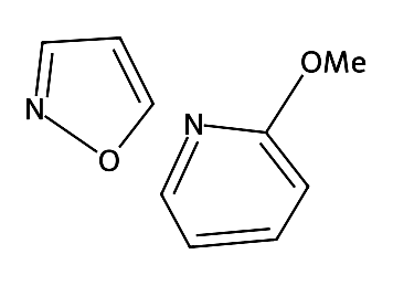 COc1ccccn1.c1cnoc1